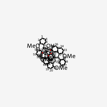 COc1ccccc1CC(O)(CN(CC(O)(Cc1ccccc1OC)C(c1ccccc1OC)c1cccc2ccccc12)C(=O)C1(C(N)=O)CCCC1)C(c1ccccc1OC)c1cccc2ccccc12